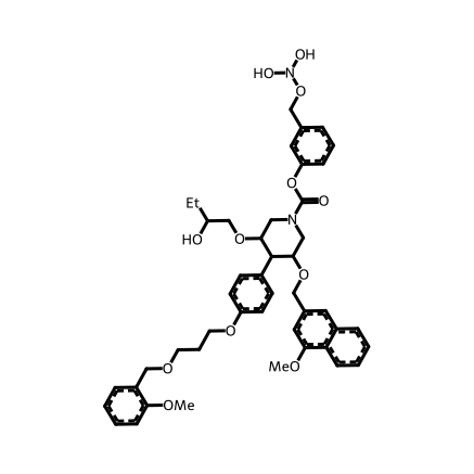 CCC(O)COC1CN(C(=O)Oc2cccc(CON(O)O)c2)CC(OCc2cc(OC)c3ccccc3c2)C1c1ccc(OCCCOCc2ccccc2OC)cc1